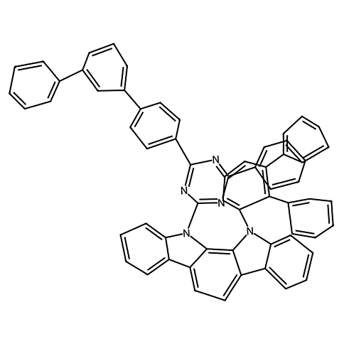 c1ccc(-c2cccc(-c3ccc(-c4nc(-c5ccccc5)nc(-n5c6ccccc6c6ccc7c8ccccc8n(-c8cccc(-c9ccccc9)c8-c8ccccc8)c7c65)n4)cc3)c2)cc1